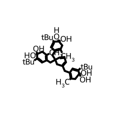 CC1=C(CC2=CC=CC(CC3=C(C)CC(O)(O)C(C(C)(C)C)=C3)(CC3=C(C)CC(O)(O)C(C(C)(C)C)=C3)C2)C=C(C(C)(C)C)C(O)(O)C1